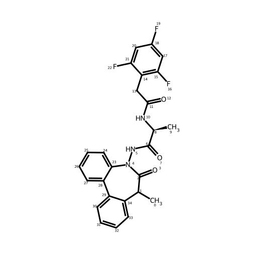 CC1C(=O)N(NC(=O)[C@H](C)NC(=O)Cc2c(F)cc(F)cc2F)c2ccccc2-c2ccccc21